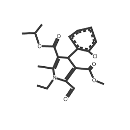 CCN1C(C)=C(C(=O)OC(C)C)C(c2ccccc2Cl)C(C(=O)OC)=C1C=O